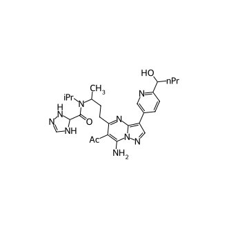 CCCC(O)c1ccc(-c2cnn3c(N)c(C(C)=O)c(CCC(C)N(C(=O)C4NC=NN4)C(C)C)nc23)cn1